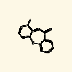 CC1C=CC=C2Oc3ncccc3C(=O)C=C21